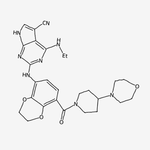 CCNc1nc(Nc2ccc(C(=O)N3CCC(N4CCOCC4)CC3)c3c2OCCO3)nc2[nH]cc(C#N)c12